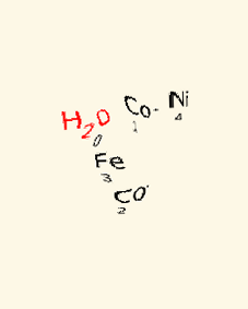 O.[Co].[Co].[Fe].[Ni]